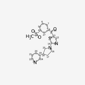 CS(=O)(=O)c1cccc(C(=O)c2cnc(N3CCC(c4cccnc4)C3)s2)c1